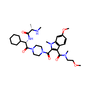 CN[C@@H](C)C(=O)N[C@H](C(=O)N1CCN(C(=O)c2c(C(=O)N(C)CCOC)c3ccc(OC)cc3n2C)CC1)C1CCCCC1